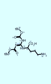 CC(C)(C)OC(=O)/N=C(/NC(=O)OC(C)(C)C)NC(CCCN)C(=O)O